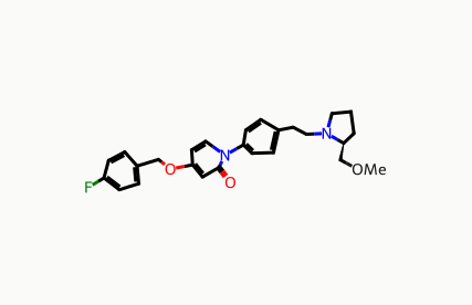 COC[C@@H]1CCCN1CCc1ccc(-n2ccc(OCc3ccc(F)cc3)cc2=O)cc1